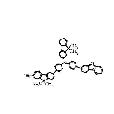 CC(C)(C)c1ccc2c(c1)C(C)(C)c1ccc(-c3ccc(N(c4ccc(-c5ccc6c(c5)oc5ccccc56)cc4)c4ccc5c(c4)C(C)(C)c4ccccc4-5)cc3)cc1-2